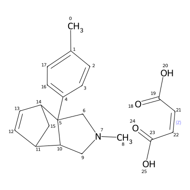 Cc1ccc(C23CN(C)CC2C2C=CC3C2)cc1.O=C(O)/C=C\C(=O)O